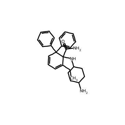 CCC1=CC=CC(c2ccccc2)(c2ccccc2)C1(NC1CCC(N)CC1)C(N)=O